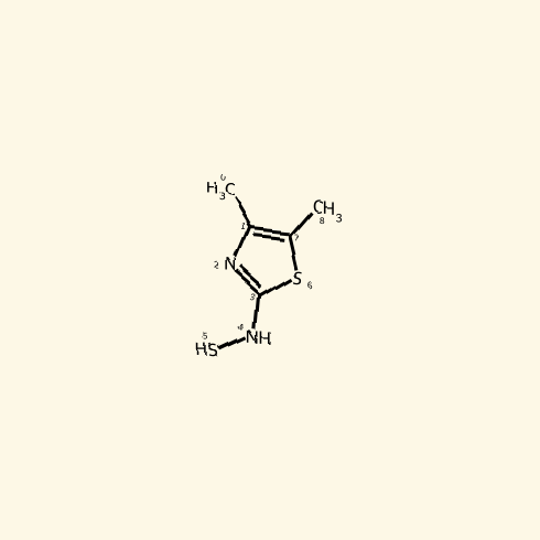 Cc1nc(NS)sc1C